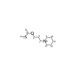 CSC(C)OCCCN1CCCCC1